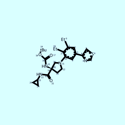 CCc1cc(-c2cscn2)cc(N2CC[C@](NC(=O)OC(C)(C)C)(C(=O)NC3CC3)C2)c1CC